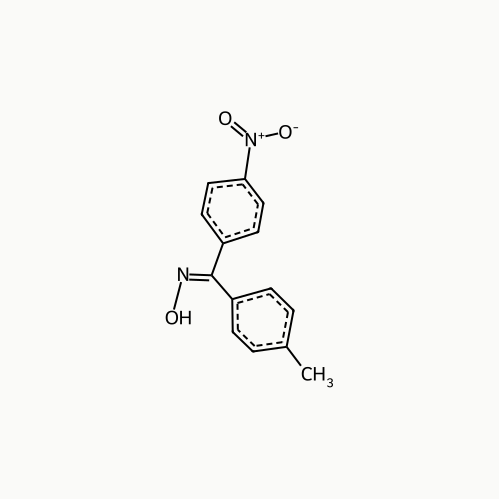 Cc1ccc(/C(=N\O)c2ccc([N+](=O)[O-])cc2)cc1